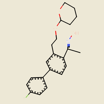 CC(=NO)c1ccc(-c2ccc(F)cc2)cc1CCOC1CCCCO1